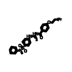 CC(C)CCOc1ccc(C(=O)NC(=S)Nc2ccc(S(=O)(=O)N(C)c3ccccc3)cc2)cc1